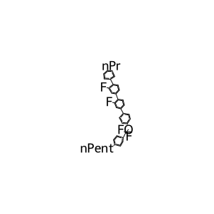 CCCCCc1ccc(C(F)(F)Oc2ccc(-c3ccc(-c4ccc(-c5ccc(CCC)cc5)c(F)c4)c(F)c3)cc2)cc1